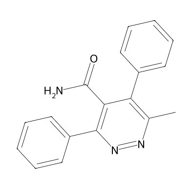 Cc1nnc(-c2ccccc2)c(C(N)=O)c1-c1ccccc1